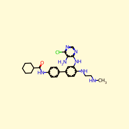 CNCCNc1ccc(-c2ccc(NC(=O)C3CCCCC3)cc2)cc1Nc1ncnc(Cl)c1N